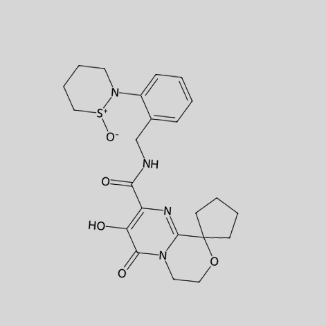 O=C(NCc1ccccc1N1CCCC[S+]1[O-])c1nc2n(c(=O)c1O)CCOC21CCCC1